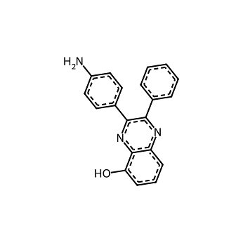 Nc1ccc(-c2nc3c(O)cccc3nc2-c2ccccc2)cc1